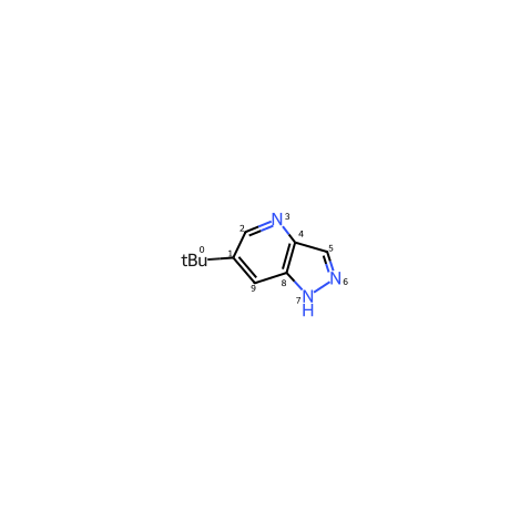 CC(C)(C)c1cnc2cn[nH]c2c1